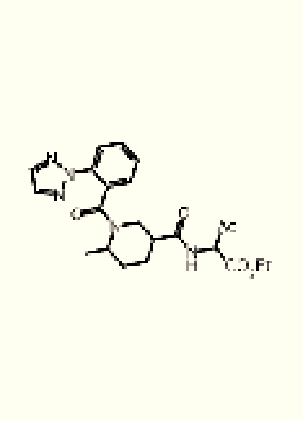 CCOC(=O)C(NC(=O)C1CCC(C)N(C(=O)c2ccccc2-n2nccn2)C1)C(C)=O